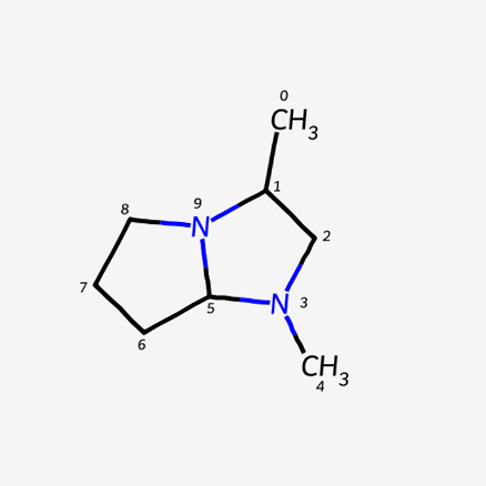 CC1CN(C)C2CCCN12